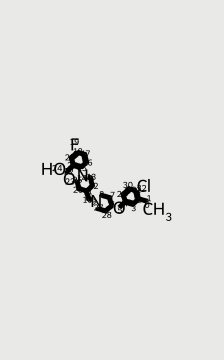 CCc1cc(OC2CCN(CC3CCN(c4ccc(F)cc4C(=O)O)CC3)CC2)ccc1Cl